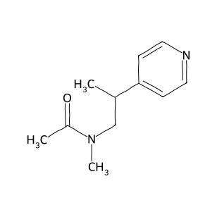 CC(=O)N(C)CC(C)c1ccncc1